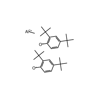 CC(C)(C)c1ccc([O-])c(C(C)(C)C)c1.CC(C)(C)c1ccc([O-])c(C(C)(C)C)c1.[CH3][Al+2]